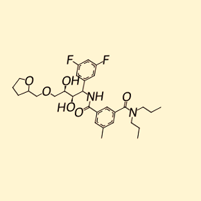 CCCN(CCC)C(=O)c1cc(C)cc(C(=O)NC(c2cc(F)cc(F)c2)[C@@H](O)[C@H](O)COCC2CCCO2)c1